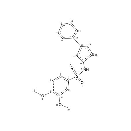 COc1ccc(S(=O)(=O)Nc2nc(-c3ccccc3)ns2)cc1OC